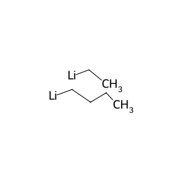 [Li][CH2]C.[Li][CH2]CCC